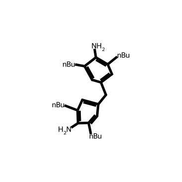 CCCCc1cc(Cc2cc(CCCC)c(N)c(CCCC)c2)cc(CCCC)c1N